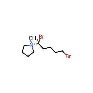 C[N+]1(C(Br)CCCCBr)CCCC1